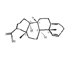 C[C@]12C=CCC=C1CC[C@@H]1[C@@H]2CC[C@]2(C)C(C(=O)S)CC[C@@H]12